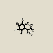 CC(C(=O)Cl)c1c(F)c(F)c(F)c(F)c1F